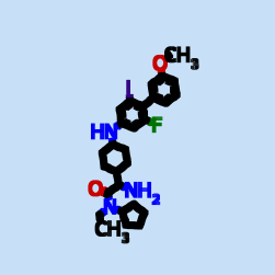 CCN(C(=O)C(N)C1CCC(Nc2cc(F)c(-c3cccc(OC)c3)c(I)c2)CC1)C1CCCC1